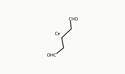 O=CCCCC=O.[Ce]